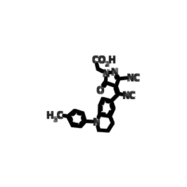 [C-]#[N+]C1=NN(CC(=O)O)C(=O)/C1=C(/[N+]#[C-])c1ccc2c(c1)CCCN2c1ccc(C)cc1